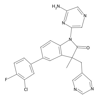 CC1(Cc2cncnc2)C(=O)N(c2cncc(N)n2)c2ccc(-c3ccc(F)c(Cl)c3)cc21